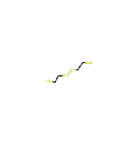 SCCSSCCS